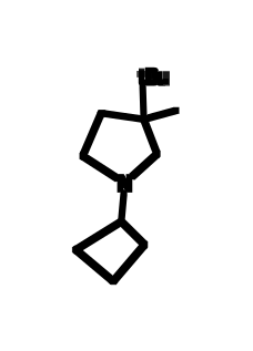 CC(C)(C)C1(C)CCN(C2CCC2)C1